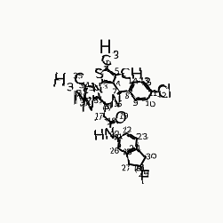 Cc1sc2c(c1C)C(c1ccc(Cl)cc1)=N[C@@H](CC(=O)Nc1ccc3c(c1)C[C@H](F)C3)c1nnc(C)n1-2